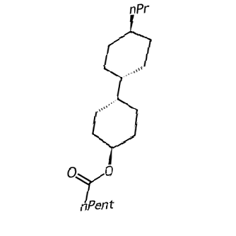 CCCCCC(=O)O[C@H]1CC[C@H]([C@H]2CC[C@H](CCC)CC2)CC1